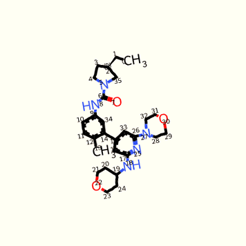 CC[C@@H]1CCN(C(=O)Nc2ccc(C)c(-c3cc(NC4CCOCC4)nc(N4CCOCC4)c3)c2)C1